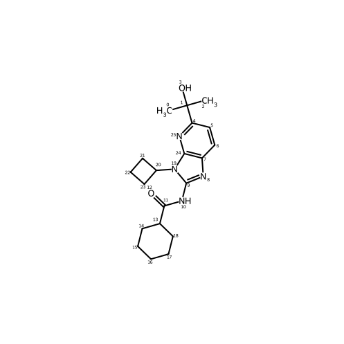 CC(C)(O)c1ccc2nc(NC(=O)C3CCCCC3)n(C3CCC3)c2n1